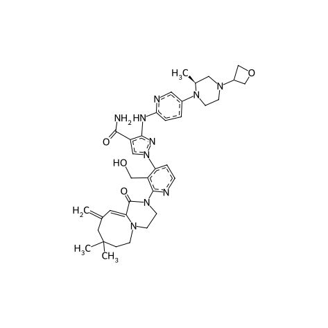 C=C1/C=C2/C(=O)N(c3nccc(-n4cc(C(N)=O)c(Nc5ccc(N6CCN(C7COC7)C[C@@H]6C)cn5)n4)c3CO)CCN2CCC(C)(C)C1